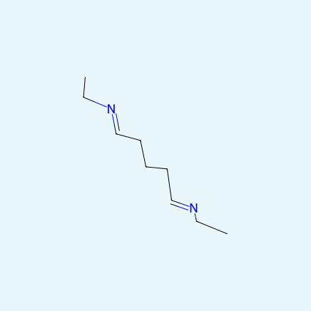 CCN=CCCCC=NCC